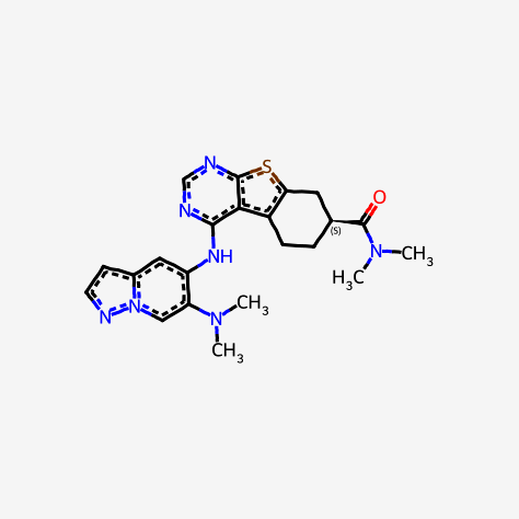 CN(C)C(=O)[C@H]1CCc2c(sc3ncnc(Nc4cc5ccnn5cc4N(C)C)c23)C1